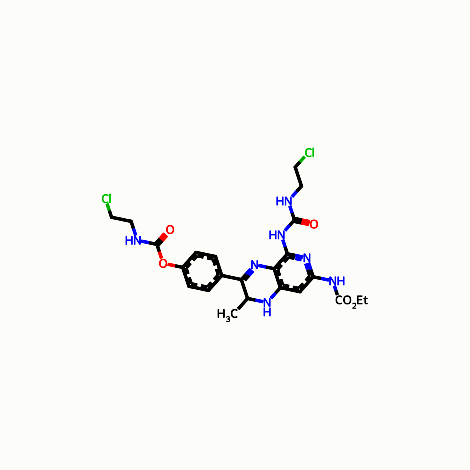 CCOC(=O)Nc1cc2c(c(NC(=O)NCCCl)n1)N=C(c1ccc(OC(=O)NCCCl)cc1)C(C)N2